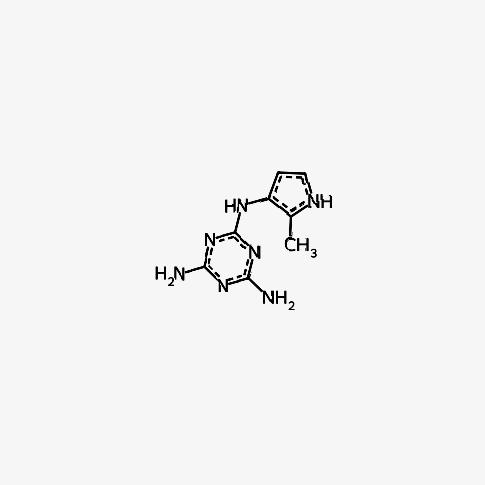 Cc1[nH]ccc1Nc1nc(N)nc(N)n1